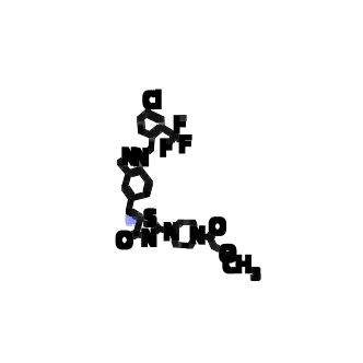 COCC(=O)N1CCN(C2=NC(=O)/C(=C/c3ccc4c(cnn4Cc4ccc(Cl)cc4C(F)(F)F)c3)S2)CC1